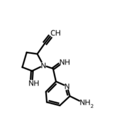 C#CC1CCC(=N)N1C(=N)c1cccc(N)n1